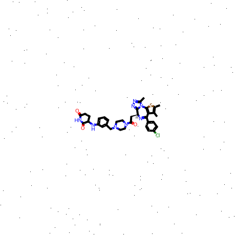 Cc1sc2c(c1C)C(c1ccc(Cl)cc1)=N[C@@H](CC(=O)N1CCN(Cc3cccc(NC4CCC(=O)NC4=O)c3)CC1)c1nnc(C)n1-2